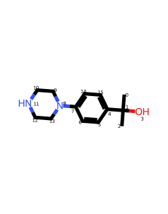 CC(C)(O)c1ccc(N2CCNCC2)cc1